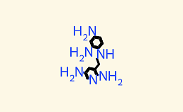 Nc1ccc(NCCc2cc(N)cnc2N)c(N)c1